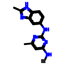 CCNc1cc(C)nc(Nc2ccc3[nH]c(C)nc3c2)n1